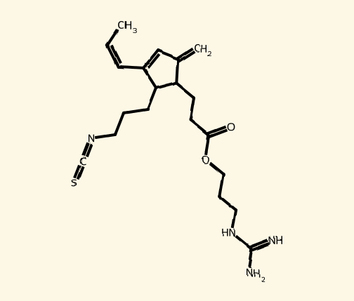 C=C1C=C(/C=C\C)C(CCCN=C=S)C1CCC(=O)OCCCNC(=N)N